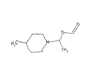 CC1CCN(C(C)OC=O)CC1